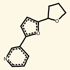 c1cncc(-c2ccc(C3CCCO3)o2)c1